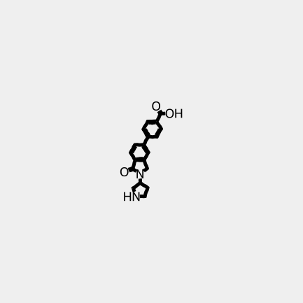 O=C(O)c1ccc(-c2ccc3c(c2)CN(C2CCNC2)C3=O)cc1